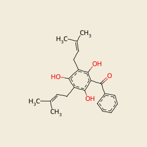 CC(C)=CCc1c(O)c(CC=C(C)C)c(O)c(C(=O)c2ccccc2)c1O